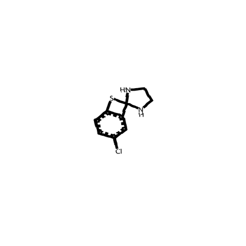 Clc1ccc2c(c1)C1(NCCN1)S2